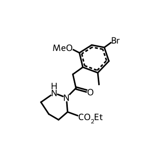 CCOC(=O)C1CCCNN1C(=O)Cc1c(C)cc(Br)cc1OC